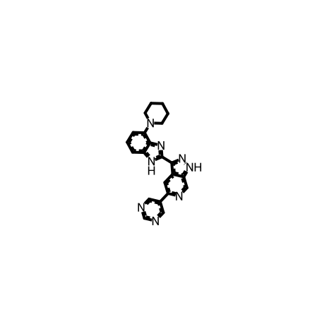 c1cc(N2CCCCC2)c2nc(-c3n[nH]c4cnc(-c5cncnc5)cc34)[nH]c2c1